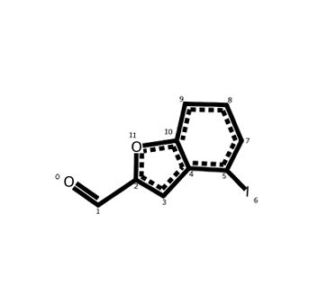 O=Cc1cc2c(I)cccc2o1